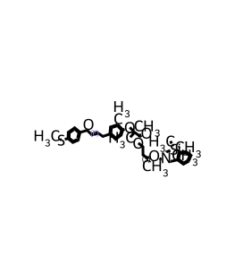 CSc1ccc(C(=O)/C=C/Cc2ccc(OC(C)(C)C(=O)OCC[C@H](C)OCN(Cc3ccccc3)C[Si](C)(C)C)c(C)c2)cc1